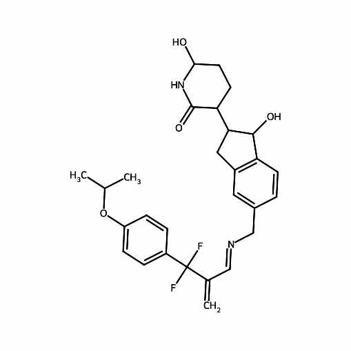 C=C(/C=N/Cc1ccc2c(c1)CC(C1CCC(O)NC1=O)C2O)C(F)(F)c1ccc(OC(C)C)cc1